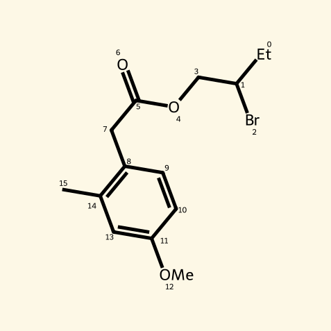 CCC(Br)COC(=O)Cc1ccc(OC)cc1C